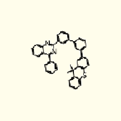 CC1(C)c2ccccc2Sc2ccc(-c3cccc(-c4cccc(-c5nc(-c6ccccc6)c6ccccc6n5)c4)c3)cc21